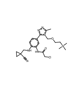 Cc1nnc(-c2ccc(NCC3(C#N)CC3)c(NC(=O)CCl)c2)n1COCC[Si](C)(C)C